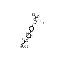 CCCCCCCC/C=C/C(=O)Oc1cnc(-c2ccc(CCC(C)OC(=O)CC)cc2)nc1